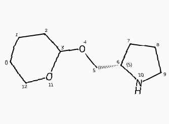 C1CCC(OC[C@@H]2CCCN2)OC1